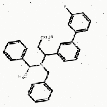 C[C@H](c1ccccc1)N(Cc1ccccc1)C(CC(=O)O)c1cccc(-c2cccc(F)c2)c1